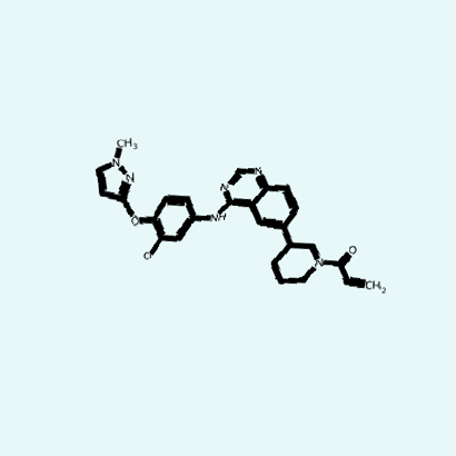 C=CC(=O)N1CCCC(c2ccc3ncnc(Nc4ccc(Oc5ccn(C)n5)c(Cl)c4)c3c2)C1